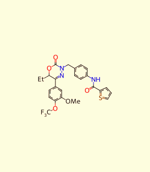 CCC1OC(=O)N(Cc2ccc(NC(=O)c3cccs3)cc2)N=C1c1ccc(OC(F)(F)F)c(OC)c1